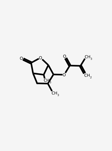 C=C(C)C(=O)OC1C(C)CC2C(=O)OC1C2C